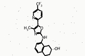 Cc1nc(Nc2cccc3c2C[C@H](O)CC3)oc1-c1ccc(C(F)(F)F)cn1